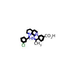 CC(Nc1nccc2c1N(Cc1cccc(Cl)c1)CCC2)c1ccc(C(=O)O)cc1